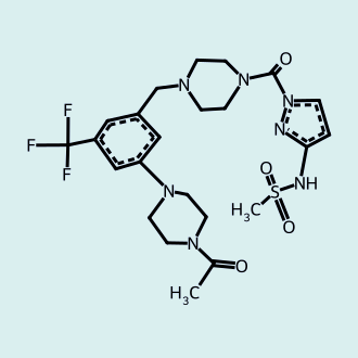 CC(=O)N1CCN(c2cc(CN3CCN(C(=O)n4ccc(NS(C)(=O)=O)n4)CC3)cc(C(F)(F)F)c2)CC1